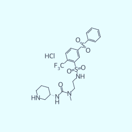 CN(CCNS(=O)(=O)c1cc(S(=O)(=O)c2ccccc2)ccc1C(F)(F)F)C(=O)N[C@H]1CCCNC1.Cl